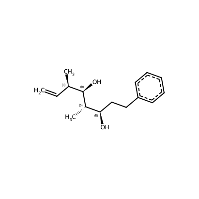 C=C[C@@H](C)[C@@H](O)[C@@H](C)[C@H](O)CCc1ccccc1